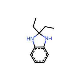 CCC1(CC)Nc2ccccc2N1